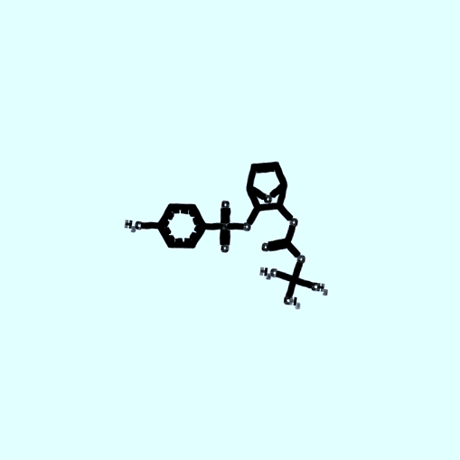 Cc1ccc(S(=O)(=O)OC2C3C=CC(O3)C2OC(=O)OC(C)(C)C)cc1